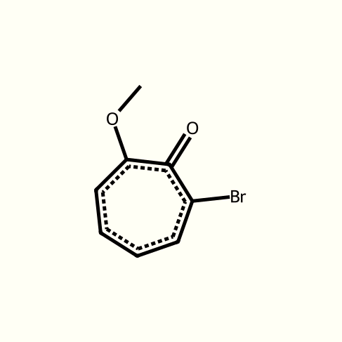 COc1ccccc(Br)c1=O